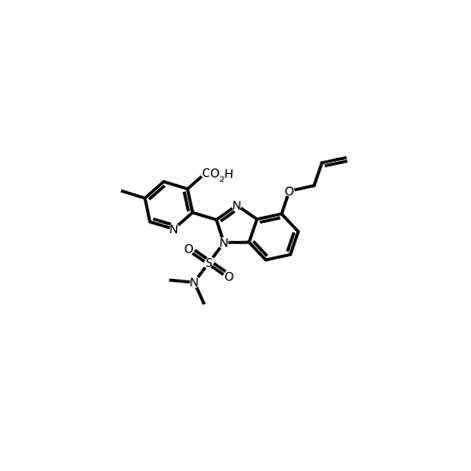 C=CCOc1cccc2c1nc(-c1ncc(C)cc1C(=O)O)n2S(=O)(=O)N(C)C